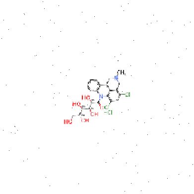 CN1Cc2c(Cl)cc(Cl)cc2C(c2ccccc2NC(=O)[C@H](O)[C@@H](O)[C@H](O)[C@H](O)CO)C1.Cl